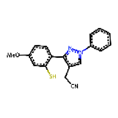 COc1ccc(-c2nn(-c3ccccc3)cc2CC#N)c(S)c1